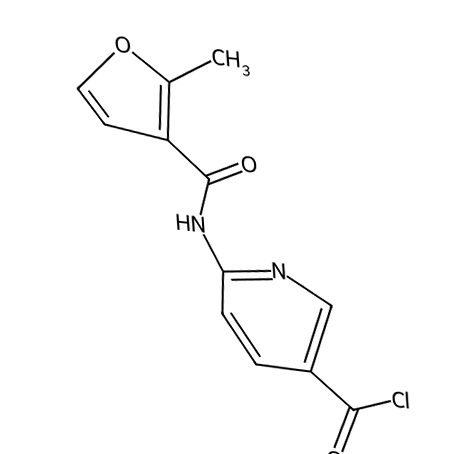 Cc1occc1C(=O)Nc1ccc(C(=O)Cl)cn1